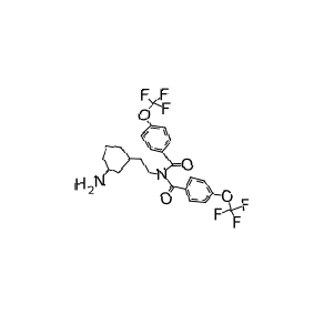 NC1CCCC(CCN(C(=O)c2ccc(OC(F)(F)F)cc2)C(=O)c2ccc(OC(F)(F)F)cc2)C1